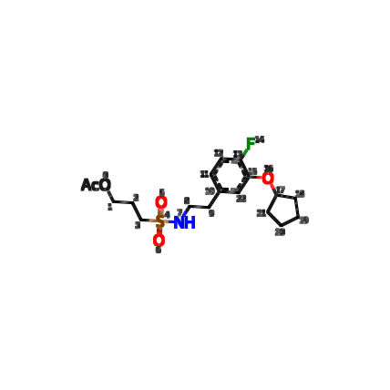 CC(=O)OCCCS(=O)(=O)NCCc1ccc(F)c(OC2CCCC2)c1